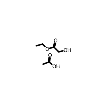 CC(=O)O.CCOC(=O)CO